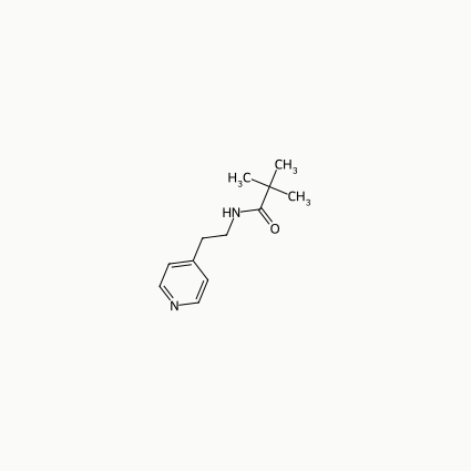 CC(C)(C)C(=O)NCCc1ccncc1